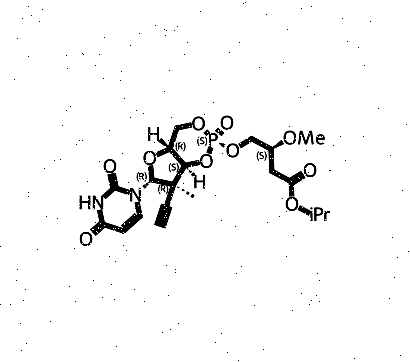 C#C[C@]1(C)[C@@H]2O[P@@](=O)(OC[C@H](CC(=O)OC(C)C)OC)OC[C@H]2O[C@H]1n1ccc(=O)[nH]c1=O